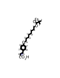 CCC(C)(C)C(=O)OCCCCCCCCOc1ccc(/C=C/C(=O)O)cc1